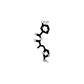 CC([CH]c1csc(N)n1)C(=O)OC(=O)c1cccc(C(=O)O)c1